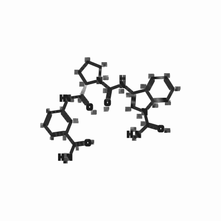 NC(=O)c1cccc(NC(=O)[C@@H]2CCCN2C(=O)Nc2cn(C(N)=O)c3ccccc23)c1